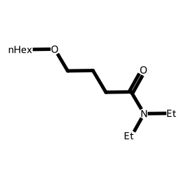 CCCCCCOCCCC(=O)N(CC)CC